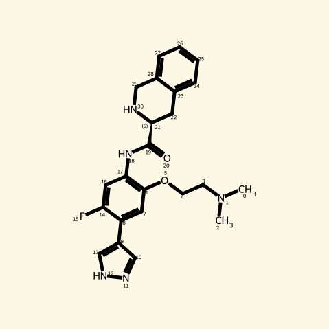 CN(C)CCOc1cc(-c2cn[nH]c2)c(F)cc1NC(=O)[C@@H]1Cc2ccccc2CN1